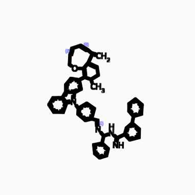 C=C1/C=C\C=C/COC2=C(c3ccc4c5ccccc5n(-c5ccc(/C=N/C(NC(=N)c6cccc(-c7ccccc7)c6)c6ccccc6)cc5)c4c3)C(C)CC=C12